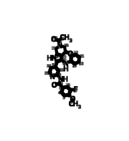 COc1ccc(C(=O)Nc2cc(-c3[nH]c4c(c3Nc3ccccc3)C(=O)CN(C(C)=O)C4)ccn2)cc1F